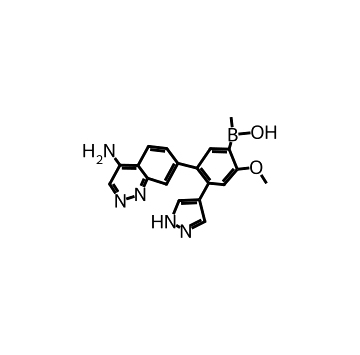 COc1cc(-c2cn[nH]c2)c(-c2ccc3c(N)cnnc3c2)cc1B(C)O